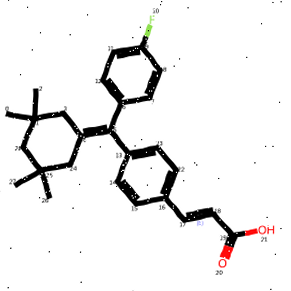 CC1(C)CC(=C(c2ccc(F)cc2)c2ccc(/C=C/C(=O)O)cc2)CC(C)(C)C1